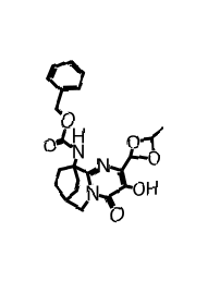 CC1OC(c2nc3n(c(=O)c2O)CC2CCC3(NC(=O)OCc3ccccc3)CC2)O1